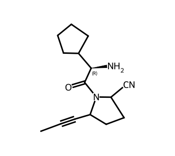 CC#CC1CCC(C#N)N1C(=O)[C@H](N)C1CCCC1